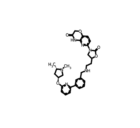 C[C@H]1C[C@H](Oc2cccc(-c3cccc(CNCCC4CN(c5ccc6c(n5)NC(=O)CO6)C(=O)O4)c3)n2)CN1C